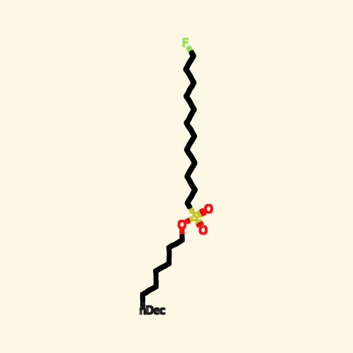 CCCCCCCCCCCCCCCCOS(=O)(=O)CCCCCCCCCCCCF